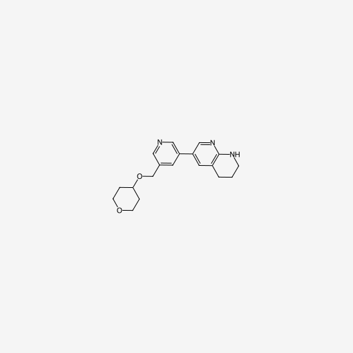 c1ncc(-c2cnc3c(c2)CCCN3)cc1COC1CCOCC1